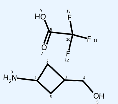 NC1CC(CO)C1.O=C(O)C(F)(F)F